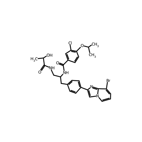 CC(C)Oc1ccc(C(=O)NC(CNC(=O)C(C)O)Cc2ccc(-c3cn4cccc(Br)c4n3)cc2)cc1Cl